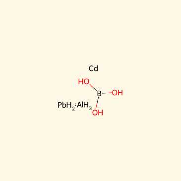 OB(O)O.[AlH3].[Cd].[PbH2]